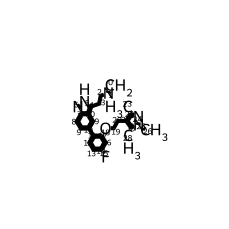 C=NCCc1[nH]nc2ccc(-c3ccc(F)cc3OCCc3c(C)nn(C)c3C)cc12